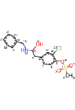 CS(=O)(=O)Oc1ccc(CC(O)NCc2ccccc2)cc1Cl